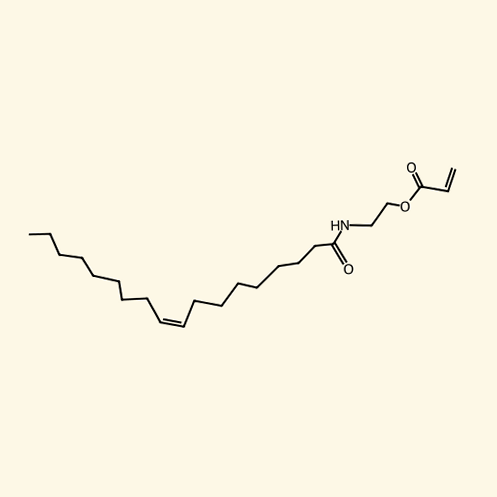 C=CC(=O)OCCNC(=O)CCCCCCC/C=C\CCCCCCCC